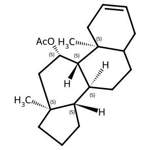 CC(=O)O[C@H]1C[C@]2(C)CCC[C@H]2[C@@H]2CCC3CC=CC[C@]3(C)[C@H]21